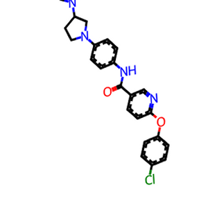 CN(C)C1CCN(c2ccc(NC(=O)c3ccc(Oc4ccc(Cl)cc4)nc3)cc2)C1